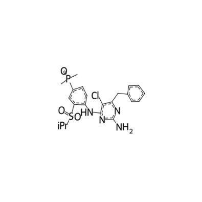 CC(C)S(=O)(=O)c1cc(P(C)(C)=O)ccc1Nc1nc(N)nc(Cc2ccccc2)c1Cl